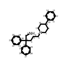 NCC(CCCN1CCC(c2ccccc2)CC1)(c1ccccc1)c1ccccc1